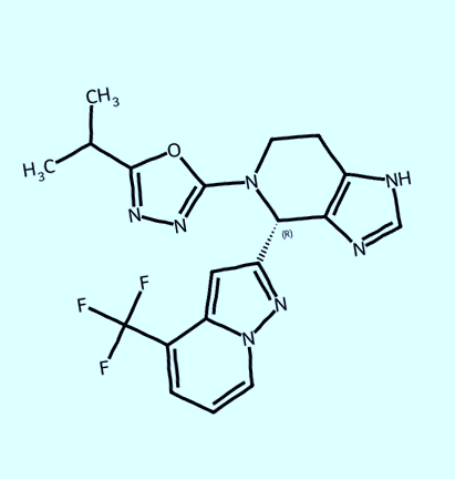 CC(C)c1nnc(N2CCc3[nH]cnc3[C@@H]2c2cc3c(C(F)(F)F)cccn3n2)o1